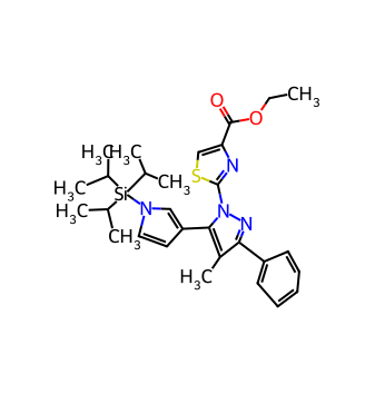 CCOC(=O)c1csc(-n2nc(-c3ccccc3)c(C)c2-c2ccn([Si](C(C)C)(C(C)C)C(C)C)c2)n1